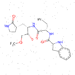 CC(C)C[C@H](NC(=O)C1Cc2ccccc2N1)C(=O)N[C@@H](C[C@@H]1CCNC1=O)C(=O)COC(F)(F)F